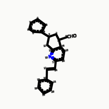 O=CC1CC(c2ccccc2)Cc2nc(C=Cc3ccccc3)ccc21